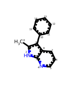 Cc1[nH]c2ncccc2c1-c1ccccc1